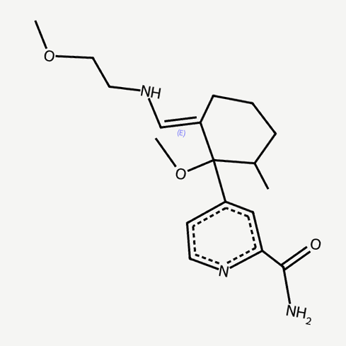 COCCN/C=C1\CCCC(C)C1(OC)c1ccnc(C(N)=O)c1